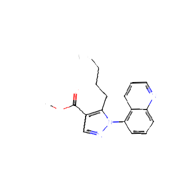 CCCCc1c(C(=O)OC)cnn1-c1cccc2ncccc12